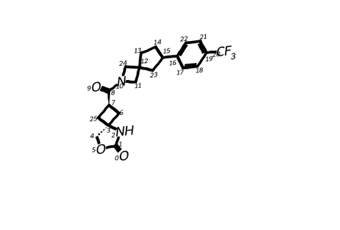 O=C1N[C@]2(CO1)C[C@H](C(=O)N1CC3(CCC(c4ccc(C(F)(F)F)cc4)C3)C1)C2